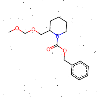 COCOCC1CCCCN1C(=O)OCc1ccccc1